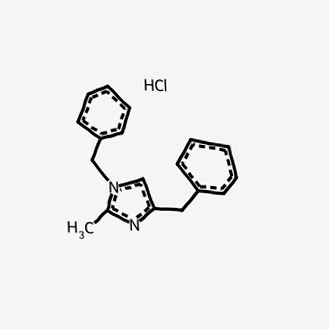 Cc1nc(Cc2ccccc2)cn1Cc1ccccc1.Cl